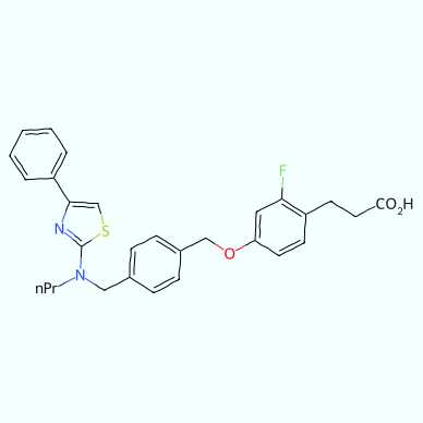 CCCN(Cc1ccc(COc2ccc(CCC(=O)O)c(F)c2)cc1)c1nc(-c2ccccc2)cs1